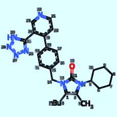 CCCCc1c(C)n(C2CCCCC2)c(=O)n1Cc1ccc(-c2ccncc2-c2nnn[nH]2)cc1